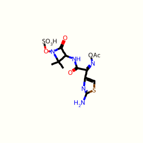 CC(=O)O/N=C(\C(=O)NC1C(=O)N(OS(=O)(=O)O)C1(C)C)c1csc(N)n1